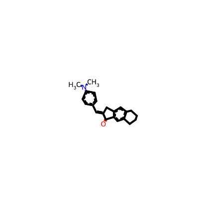 CN(C)c1ccc(C=C2Cc3cc4c(cc3C2=O)CCCC4)cc1